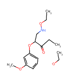 CCONCC(Oc1cccc(OC)c1)C(=O)CC.CC[O]